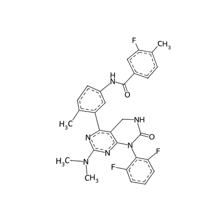 Cc1ccc(C(=O)Nc2ccc(C)c(-c3nc(N(C)C)nc4c3CNC(=O)N4c3c(F)cccc3F)c2)cc1F